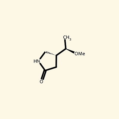 CO[C@H](C)[C@H]1CNC(=O)C1